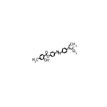 CCN(CC)c1ccc(/N=N/c2ccc(OC(=O)c3ccc(C)cc3O)cc2)cc1